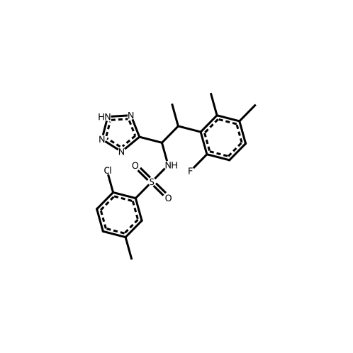 Cc1ccc(Cl)c(S(=O)(=O)NC(c2nn[nH]n2)C(C)c2c(F)ccc(C)c2C)c1